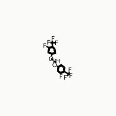 Fc1cc(OBOc2ccc(C(F)(F)F)c(F)c2)ccc1C(F)(F)F